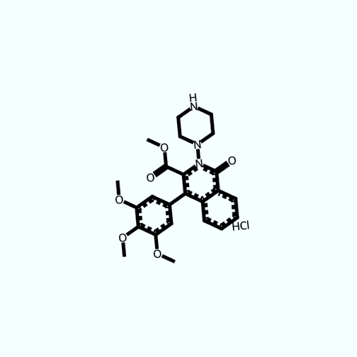 COC(=O)c1c(-c2cc(OC)c(OC)c(OC)c2)c2ccccc2c(=O)n1N1CCNCC1.Cl